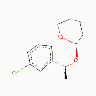 [CH2][C@H](O[C@@H]1CCCCO1)c1cccc(Cl)c1